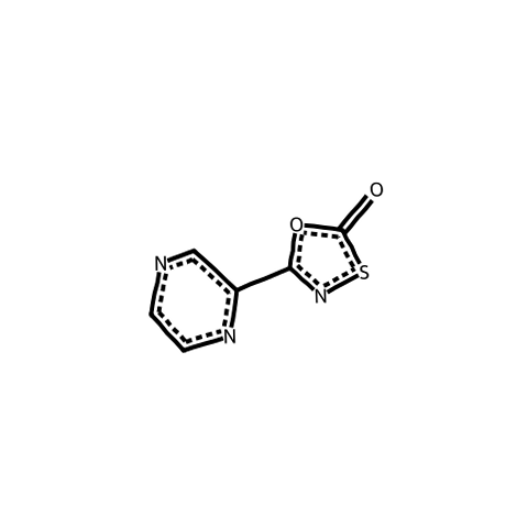 O=c1oc(-c2cnccn2)ns1